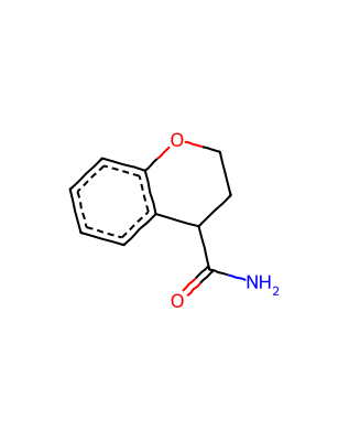 NC(=O)C1CCOc2ccccc21